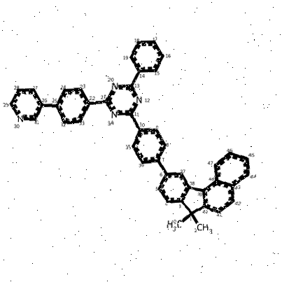 CC1(C)c2ccc(-c3ccc(-c4nc(-c5ccccc5)nc(-c5ccc(-c6cccnc6)cc5)n4)cc3)cc2-c2c1ccc1ccccc21